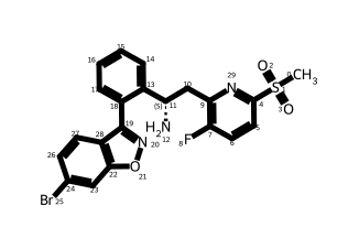 CS(=O)(=O)c1ccc(F)c(C[C@H](N)c2ccccc2-c2noc3cc(Br)ccc23)n1